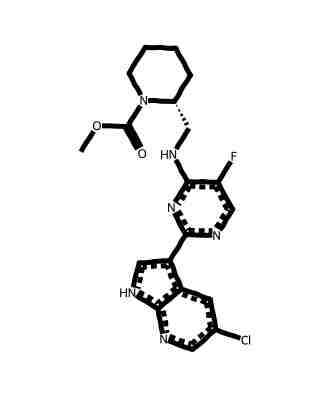 COC(=O)N1CCCC[C@@H]1CNc1nc(-c2c[nH]c3ncc(Cl)cc23)ncc1F